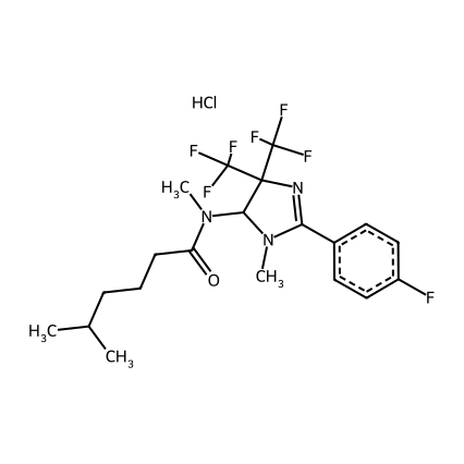 CC(C)CCCC(=O)N(C)C1N(C)C(c2ccc(F)cc2)=NC1(C(F)(F)F)C(F)(F)F.Cl